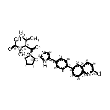 CC(C)[C@@H](C(=O)N1CCC[C@H]1c1ncc(-c2ccc(-c3ccc4nc(Cl)ccc4c3)cc2)[nH]1)N(C)C(=O)O